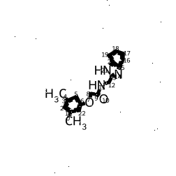 Cc1cc(C)cc(OCC(=O)NCc2nc3ccccc3[nH]2)c1